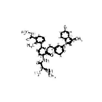 CNC(=O)c1cccc(-c2ccc(NC(=O)[C@H](C)NC)c(=O)n2Cc2cccc(-n3cc(C)c4cc(F)ccc43)c2)c1C